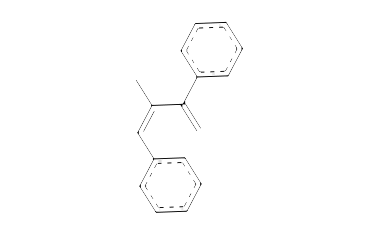 [CH2]C(=Cc1ccccc1)C(=C)c1ccccc1